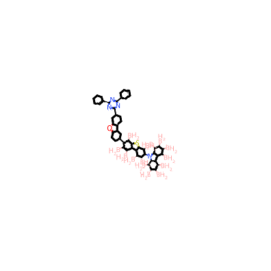 Bc1c(-c2ccc3oc4cc(-c5nc(-c6ccccc6)nc(-c6ccccc6)n5)ccc4c3c2)c(B)c2sc3c(B)c(-n4c5c(B)c(B)c(B)c(B)c5c5c(B)c(B)c(B)c(B)c54)c(B)c(B)c3c2c1B